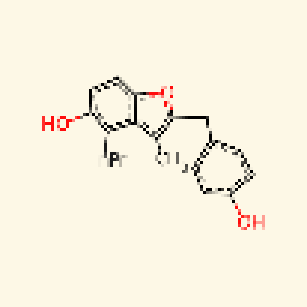 CCCc1c(O)ccc2oc(Cc3ccc(O)cc3)c(C)c12